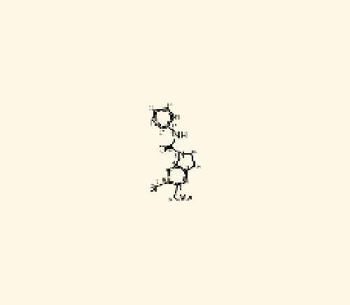 CSc1cc2c(cc1Br)N(C(=O)Nc1cccnc1)CC2